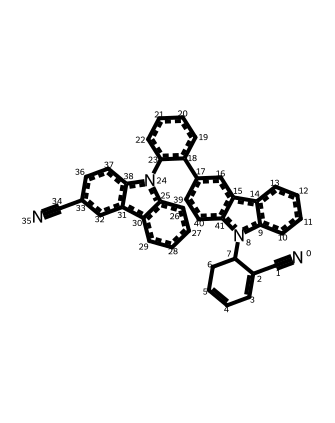 N#CC1=CC=CCC1n1c2ccccc2c2cc(-c3ccccc3-n3c4ccccc4c4cc(C#N)ccc43)ccc21